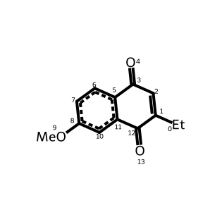 CCC1=CC(=O)c2ccc(OC)cc2C1=O